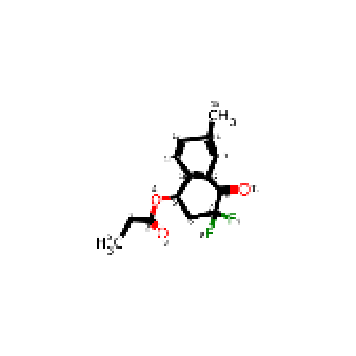 CCC(=O)OC1CC(F)(F)C(=O)c2cc(C)ccc21